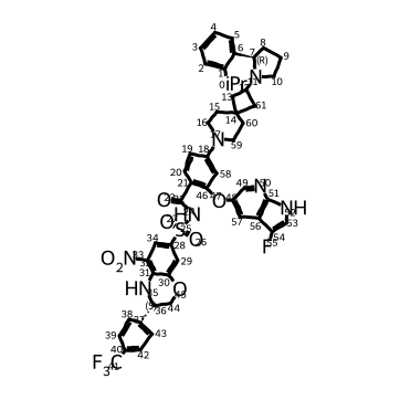 CC(C)c1ccccc1[C@H]1CCCN1C1CC2(CCN(c3ccc(C(=O)NS(=O)(=O)c4cc5c(c([N+](=O)[O-])c4)N[C@@H](c4ccc(C(F)(F)F)cc4)CO5)c(Oc4cnc5[nH]cc(F)c5c4)c3)CC2)C1